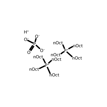 CCCCCCCC[P+](CCCCCCCC)(CCCCCCCC)CCCCCCCC.CCCCCCCC[P+](CCCCCCCC)(CCCCCCCC)CCCCCCCC.O=P([O-])([O-])[O-].[H+]